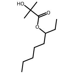 CCCCCC(CC)OC(=O)C(C)(C)O